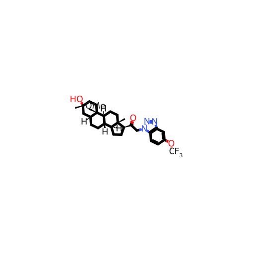 COC[C@]12CC[C@@](C)(O)C[C@@H]1CC[C@H]1[C@@H]3CC[C@H](C(=O)Cn4nnc5cc(OC(F)(F)F)ccc54)[C@@]3(C)CC[C@@H]12